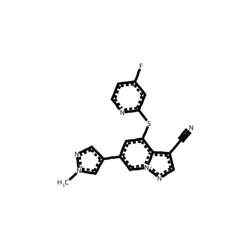 Cn1cc(-c2cc(Sc3cc(F)ccn3)c3c(C#N)cnn3c2)cn1